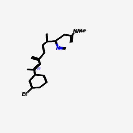 C=NC(CC(=C)NC)C(C)CCC(=C)/C=C(\C)C1CCCC(CC)C1